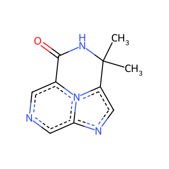 CC1(C)NC(=O)c2cncc3ncc1n23